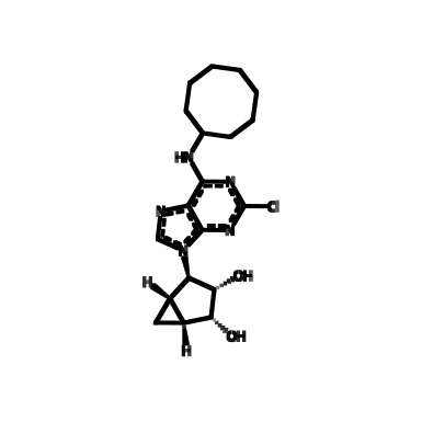 O[C@@H]1[C@H](O)[C@@H]2C[C@@H]2[C@H]1n1cnc2c(NC3CCCCCCC3)nc(Cl)nc21